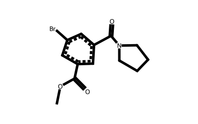 COC(=O)c1cc(Br)cc(C(=O)N2CCCC2)c1